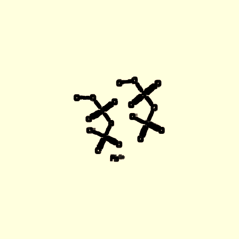 O=S(=O)([O-])OS(=O)(=O)O[O-].O=S(=O)([O-])OS(=O)(=O)O[O-].[Pb+4]